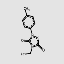 Cc1ccc(-n2sc(=O)n(CC(C)C)c2=O)cc1